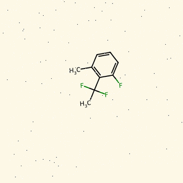 Cc1cccc(F)c1C(C)(F)F